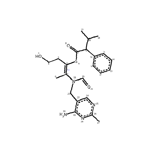 C/C(=C(\CCO)SC(=O)C(c1ccccc1)C(C)C)N(C=O)Cc1cnc(C)nc1N